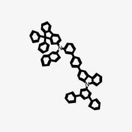 c1ccc(-c2cc(-c3ccccc3)cc(-n3c4ccccc4c4cc(-c5ccc(-c6cccc(N(c7ccc8c(c7)C(c7ccccc7)(c7ccccc7)c7ccccc7-8)c7ccc8ccccc8c7)c6)cc5)ccc43)c2)cc1